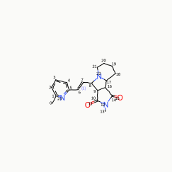 Cc1cccc(/C=C/C2C3C(=O)N(C)C(=O)C3C3CCCCN23)n1